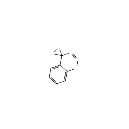 c1ccc2c(c1)SN=NC21OO1